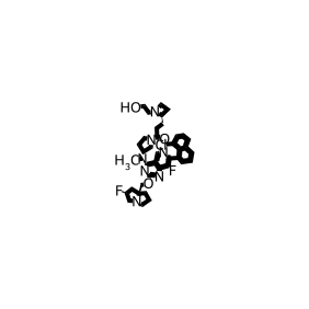 CN(c1nc(OC[C@@]23CCCN2C[C@H](F)C3)nc2c(F)c(-c3cccc4cccc(Cl)c34)ncc12)[C@@H]1CCN(C(=O)CC[C@H]2CCN2CCO)C1